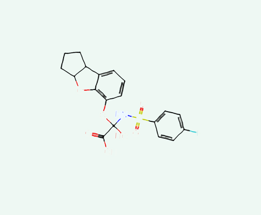 O=C(O)C(O)(NS(=O)(=O)c1ccc(F)cc1)Oc1cccc2c1OC1CCCC21